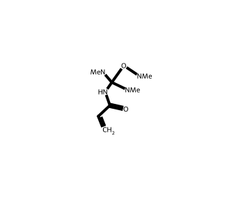 C=CC(=O)NC(NC)(NC)ONC